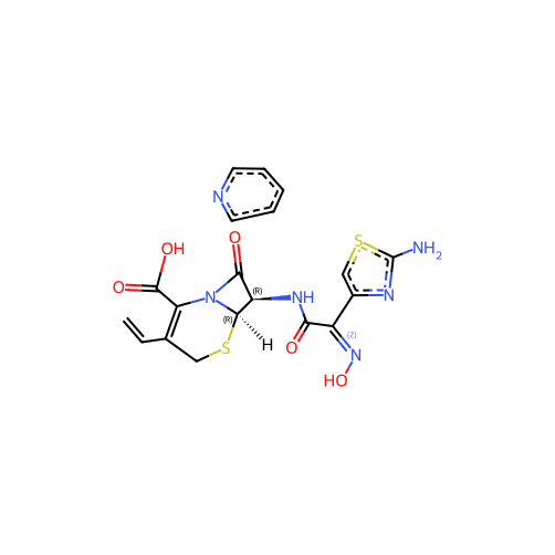 C=CC1=C(C(=O)O)N2C(=O)[C@@H](NC(=O)/C(=N\O)c3csc(N)n3)[C@H]2SC1.c1ccncc1